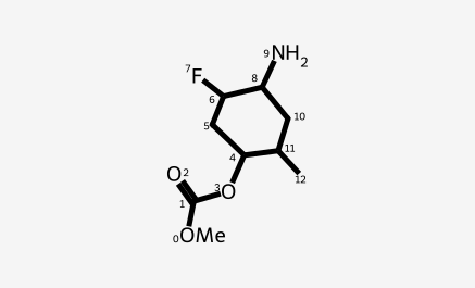 COC(=O)OC1CC(F)C(N)CC1C